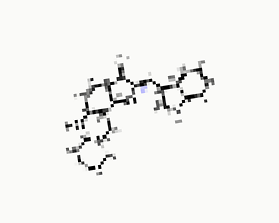 O=C1/C(=C/c2n[nH]c3ccccc23)Oc2c1ccc(O)c2CN1CCOCC1